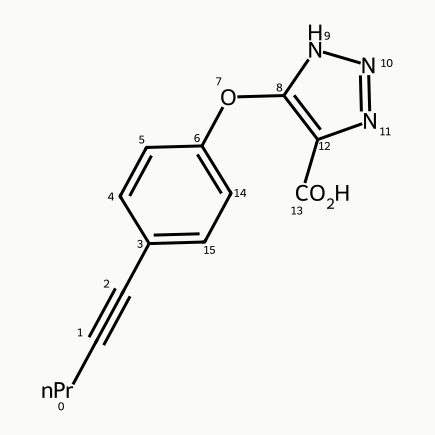 CCCC#Cc1ccc(Oc2[nH]nnc2C(=O)O)cc1